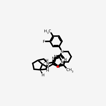 Cc1cc(N2CC3CC[C@@H](C2)[C@@H]3Nc2nc3n(n2)CCCN3c2ccc(C)c(F)c2)ncn1